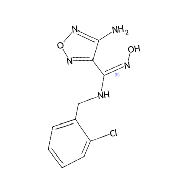 Nc1nonc1/C(=N\O)NCc1ccccc1Cl